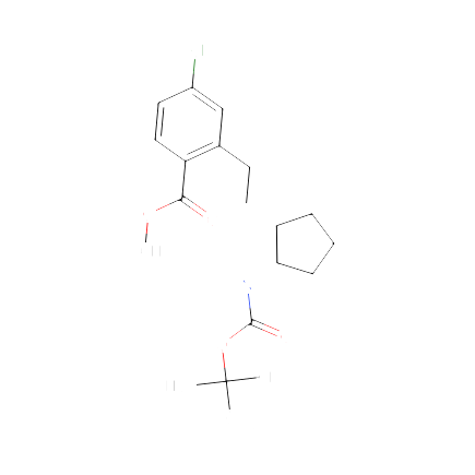 COC(=O)c1ccc(Cl)cc1CC[C@@H]1CCC[C@@H]1NC(=O)OC(C)(C)C